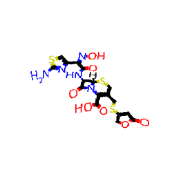 Nc1nc(/C(=N/O)C(=O)N[C@@H]2C(=O)N3C(C(=O)O)=C(CSC4=CC(=O)OC4)CS[C@@H]23)cs1